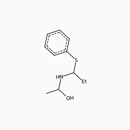 CCC(NC(C)O)Sc1ccccc1